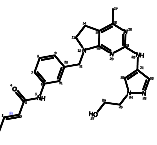 C/C=C/C(=O)Nc1cccc(CN2CCc3c(C)nc(Nc4cnn(CCO)c4)nc32)c1